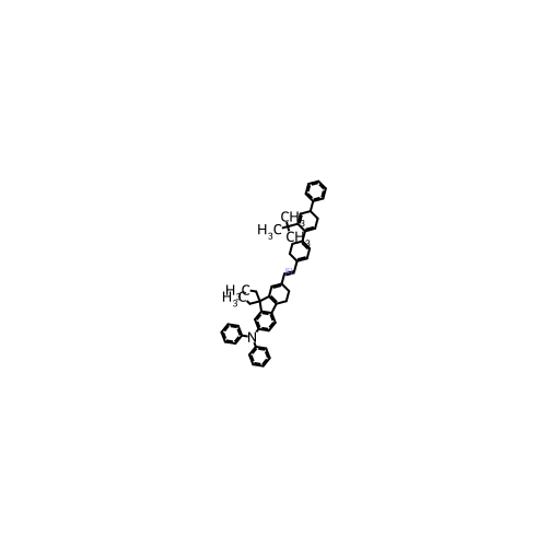 CCC1(CC)C2=C(CCC(/C=C/C3=CC=C(C4=CCC(c5ccccc5)C=C4C(C)(C)C)CC3)=C2)c2ccc(N(c3ccccc3)c3ccccc3)cc21